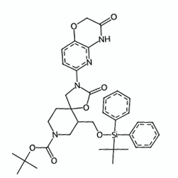 CC(C)(C)OC(=O)N1CCC2(CN(c3ccc4c(n3)NC(=O)CO4)C(=O)O2)C(CO[Si](c2ccccc2)(c2ccccc2)C(C)(C)C)C1